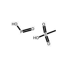 CS(=O)(=O)O.O=PO